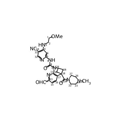 COCCNc1cc(NC(=O)N2c3nc(C=O)ccc3C3(C(=O)N4CCN(C)CC4)CC2C3)ncc1C#N